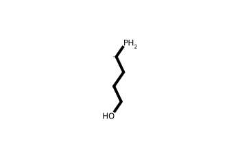 OCCC[CH]P